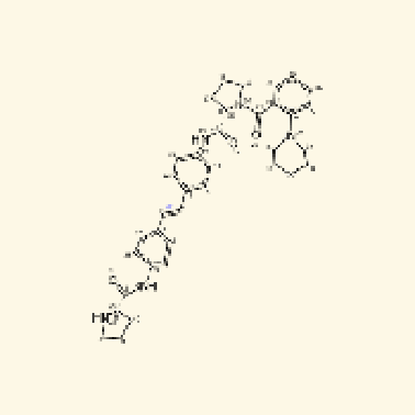 O=C(Nc1ccc(/C=C/c2ccc(NC(=O)[C@@H]3CCCN3C(=O)c3ccccc3N3CCCCC3)cc2)cc1)[C@@H]1CCCN1